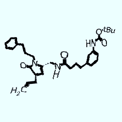 C=CC[C@@H]1C[C@@H](CNC(=O)CCCc2cccc(NC(=O)OC(C)(C)C)c2)N(CCCc2ccccc2)C1=O